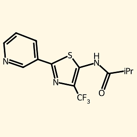 CC(C)C(=O)Nc1sc(-c2cccnc2)nc1C(F)(F)F